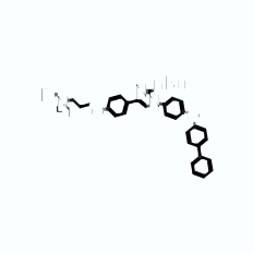 CCCCc1nc(-c2ccc(OCCCN(CC)CC)cc2)cn1-c1ccc(Oc2ccc(-c3ccccc3)cc2)cc1